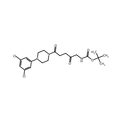 CC(C)(C)OC(=O)NCC(=O)CCC(=O)N1CCN(c2cc(Cl)cc(Cl)c2)CC1